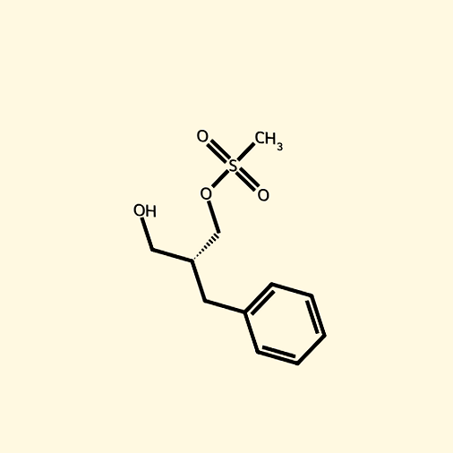 CS(=O)(=O)OC[C@@H](CO)Cc1ccccc1